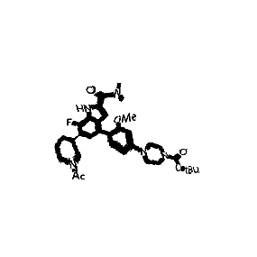 COc1cc(N2CCN(C(=O)OC(C)(C)C)CC2)ccc1-c1cc([C@@H]2CCCN(C(C)=O)C2)c(F)c2[nH]c(C(=O)N(C)C)cc12